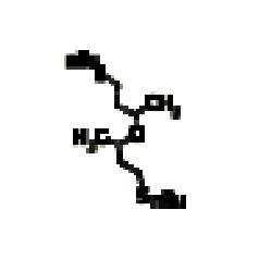 CCCCSCCC(C)OC(C)CCSCCCC